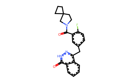 O=C(c1cc(Cc2n[nH]c(=O)c3ccccc23)ccc1F)N1CCC2(CCC2)C1